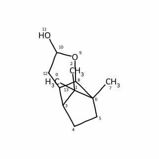 CC1(C)C2CCC1(C)C1OC(O)CC21